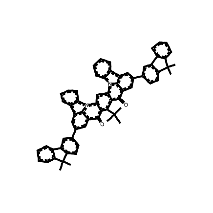 CC(C)(C)c1c2c(=O)c3cc(-c4ccc5c(c4)-c4ccccc4C5(C)C)cc4c5ccccc5n(c2cc2c1c(=O)c1cc(-c5ccc6c(c5)-c5ccccc5C6(C)C)cc5c6ccccc6n2c15)c34